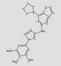 COc1cc(-n2cnc(Nc3nc(N4CCCC4)c4sccc4n3)c2)cc(OC)c1OC